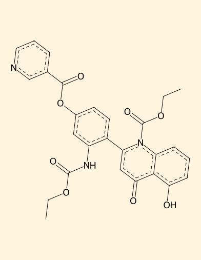 CCOC(=O)Nc1cc(OC(=O)c2cccnc2)ccc1-c1cc(=O)c2c(O)cccc2n1C(=O)OCC